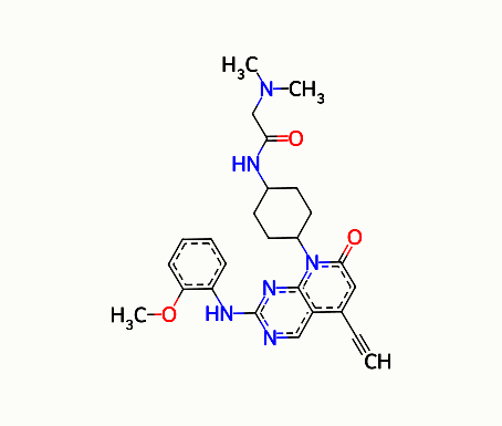 C#Cc1cc(=O)n(C2CCC(NC(=O)CN(C)C)CC2)c2nc(Nc3ccccc3OC)ncc12